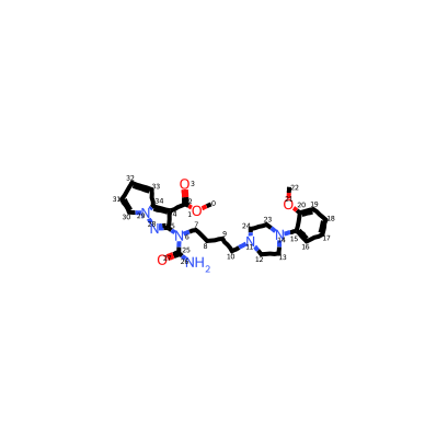 COC(=O)c1c(N(CCCCN2CCN(c3ccccc3OC)CC2)C(N)=O)nn2ccccc12